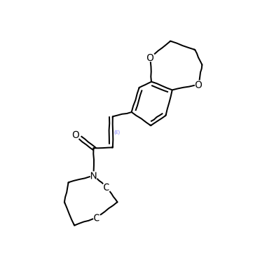 O=C(/C=C/c1ccc2c(c1)OCCCO2)N1CCCCCC1